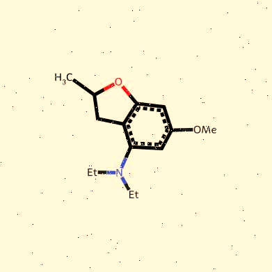 CCN(CC)c1cc(OC)cc2c1CC(C)O2